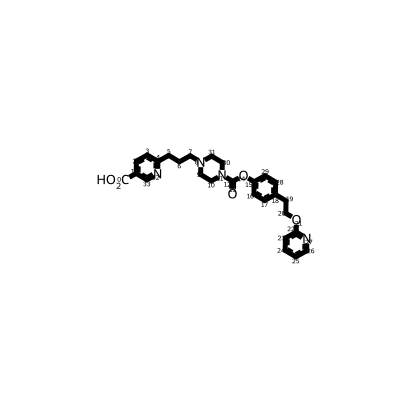 O=C(O)c1ccc(CCCN2CCN(C(=O)Oc3ccc(CCOc4ccccn4)cc3)CC2)nc1